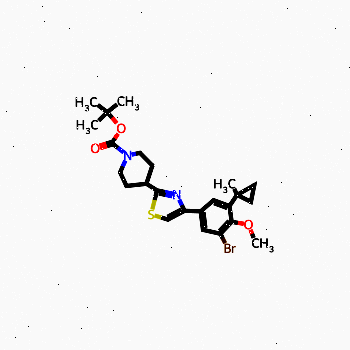 COc1c(Br)cc(-c2csc(C3CCN(C(=O)OC(C)(C)C)CC3)n2)cc1C1(C)CC1